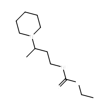 CCOC(=O)NCCC(C)N1CCCCC1